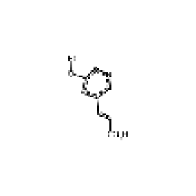 CCOc1cncc(/C=C/C(=O)O)c1